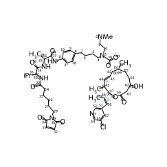 CNCCN(CCCCc1ccc(NC(=O)[C@H](C)NC(=O)[C@@H](NC(=O)CCCCCN2C(=O)C=CC2=O)C(C)C)cc1)C(=O)O[C@H]1/C=C/[C@H](C)[C@@H](/C(C)=C/c2cncc(Cl)c2)OC(=O)C[C@H](O)CC[C@@H]1C